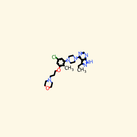 CCc1n[nH]c2ncnc(N3CCN(c4cc(Cl)cc(OCCCN5CCOCC5)c4C)CC3)c12